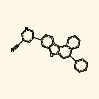 N#Cc1cncc(-c2ccc3c(c2)oc2cc(-c4ccccc4)c4ccccc4c23)c1